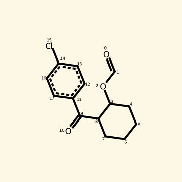 O=COC1CCCCC1C(=O)c1ccc(Cl)cc1